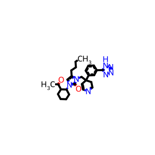 CCCCc1cn(C2CCCCC2C(C)=O)c(=O)n1CC1(c2cccc(-c3nnn[nH]3)c2)C=CN=CC1